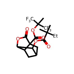 CCC(C)(C)C(=O)OC1C2CC3C1OC(=O)C3(C(=O)OC(C)(C(F)(F)F)C(F)(F)F)C2